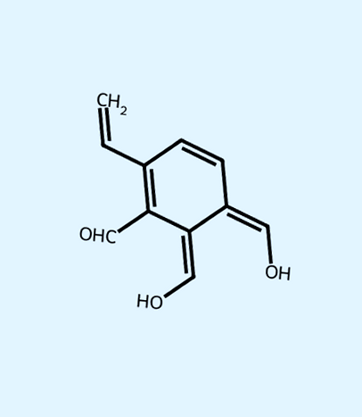 C=Cc1ccc(=CO)c(=CO)c1C=O